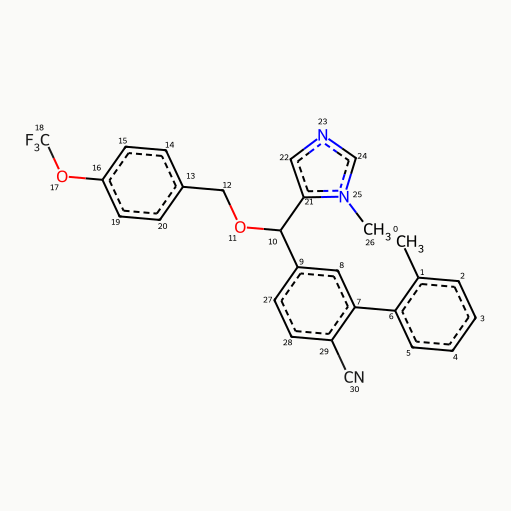 Cc1ccccc1-c1cc(C(OCc2ccc(OC(F)(F)F)cc2)c2cncn2C)ccc1C#N